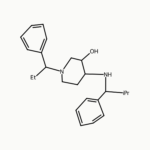 CCC(c1ccccc1)N1CCC(NC(c2ccccc2)C(C)C)C(O)C1